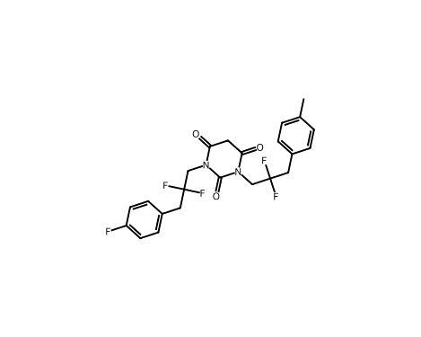 Cc1ccc(CC(F)(F)CN2C(=O)CC(=O)N(CC(F)(F)Cc3ccc(F)cc3)C2=O)cc1